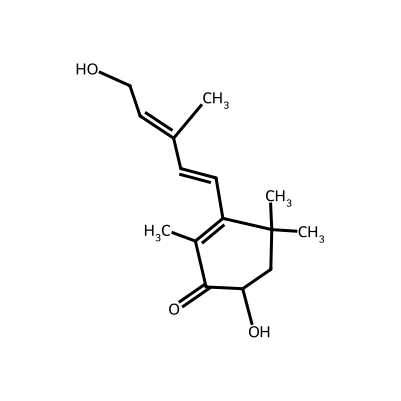 CC1=C(/C=C/C(C)=C/CO)C(C)(C)CC(O)C1=O